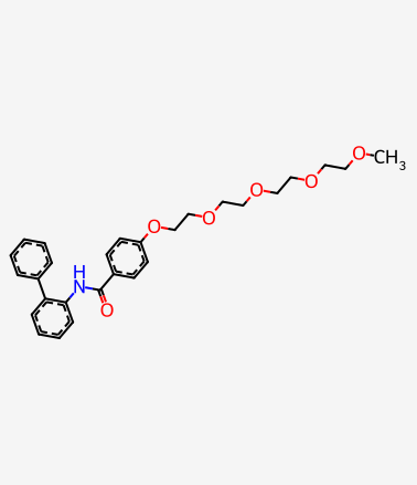 COCCOCCOCCOCCOc1ccc(C(=O)Nc2ccccc2-c2ccccc2)cc1